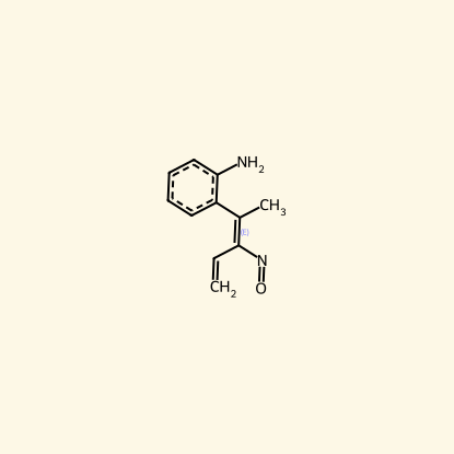 C=C/C(N=O)=C(/C)c1ccccc1N